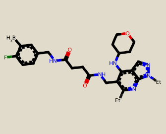 Bc1cc(CNC(=O)CCC(=O)NCc2c(CC)nc3c(cnn3CC)c2NC2CCOCC2)ccc1F